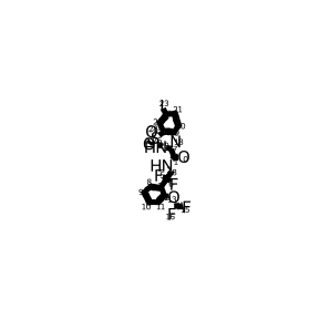 O=C(NCC(F)(F)c1ccccc1OC(F)F)C1=Nc2ccc(I)cc2S(=O)(=O)N1